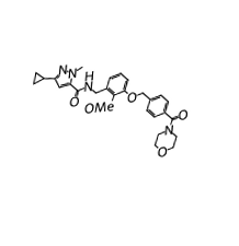 COc1c(CNC(=O)c2cc(C3CC3)nn2C)cccc1OCc1ccc(C(=O)N2CCOCC2)cc1